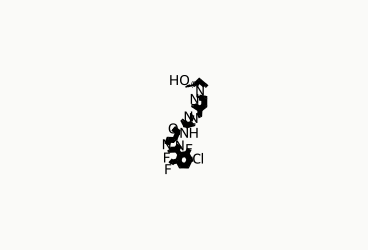 O=C(Nc1cnn(Cc2ccc(N3CC[C@@H]3CO)nc2)c1)c1cncc(-c2c(C(F)F)ccc(Cl)c2F)n1